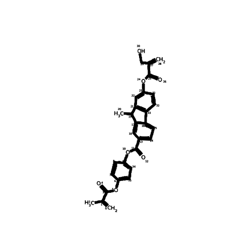 C=C(C)C(=O)Oc1ccc(OC(=O)c2ccc3c(c2)C(C)c2cc(OC(=O)C(=C)CO)ccc2-3)cc1